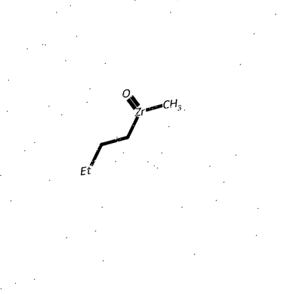 CCC[CH2][Zr]([CH3])=[O]